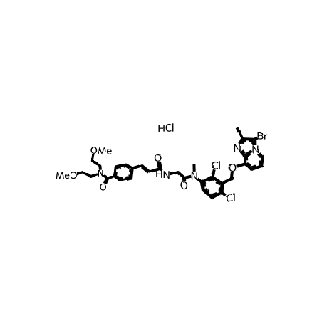 COCCN(CCOC)C(=O)c1ccc(C=CC(=O)NCC(=O)N(C)c2ccc(Cl)c(COc3cccn4c(Br)c(C)nc34)c2Cl)cc1.Cl